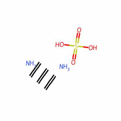 C=C.C=C.C=C.N.N.O=S(=O)(O)O